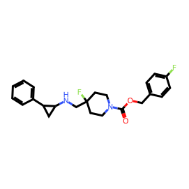 O=C(OCc1ccc(F)cc1)N1CCC(F)(CNC2CC2c2ccccc2)CC1